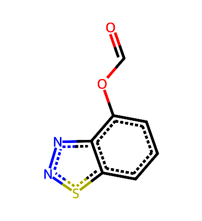 O=COc1cccc2snnc12